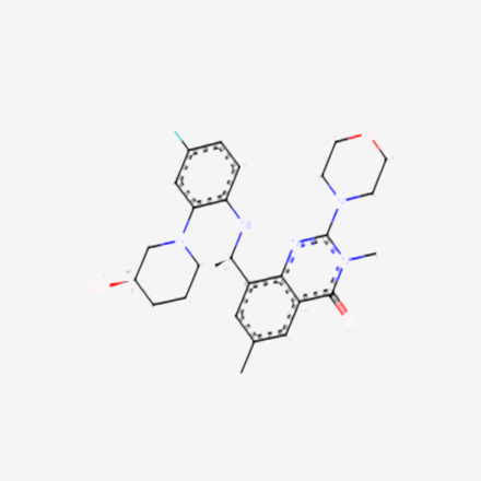 Cc1cc([C@@H](C)Nc2ccc(F)cc2N2CCC[C@@H](O)C2)c2nc(N3CCOCC3)n(C)c(=O)c2c1